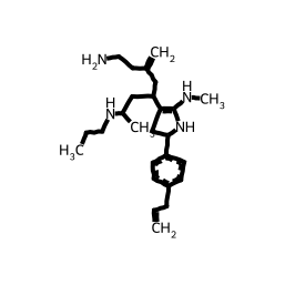 C=CCc1ccc(C2CC(C(CC(=C)CCN)CC(C)NCCC)=C(NC)N2)cc1